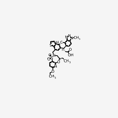 CCOc1ccc2c(n1)O[C@H](CC)CN(Cc1cc([C@@H](CC(=O)O)c3ccc4c(nnn4C)c3C)cc3ccsc13)S2(=O)=O